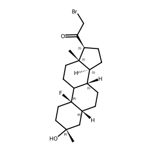 C[C@@]1(O)CC[C@]2(F)C3CC[C@]4(C)[C@@H](C(=O)CBr)CC[C@H]4[C@@H]3CC[C@@H]2C1